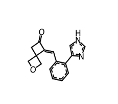 O=C1CC2(COC2)/C1=C\c1ccccc1-c1c[nH]cn1